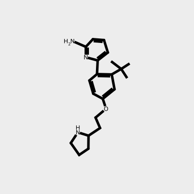 CC(C)(C)c1cc(OCCC2CCCN2)ccc1-c1cccc(N)n1